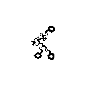 CC1(C)OC2C([C@@H](COCc3ccccc3)OCc3ccccc3)O[C@@](F)(C(=O)OCc3ccccc3)C[C@H]2O1